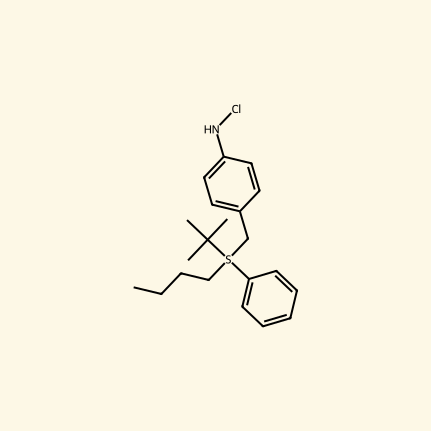 CCCCS(Cc1ccc(NCl)cc1)(c1ccccc1)C(C)(C)C